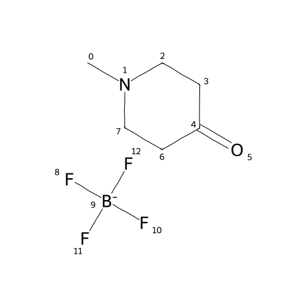 CN1CCC(=O)CC1.F[B-](F)(F)F